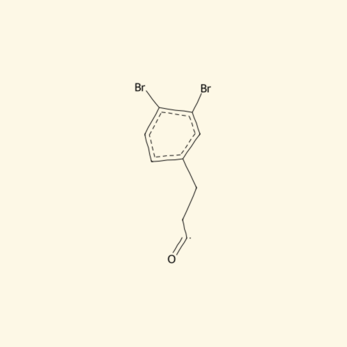 O=[C]CCc1ccc(Br)c(Br)c1